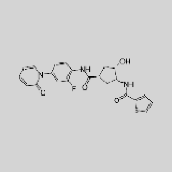 O=C(N[C@H]1C[C@@H](C(=O)Nc2ccc(-n3ccccc3=O)cc2F)C[C@@H]1O)c1cccs1